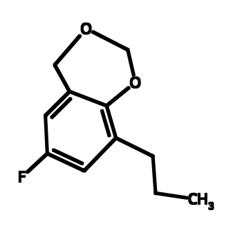 CCCc1cc(F)cc2c1OCOC2